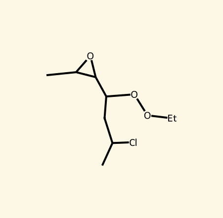 CCOOC(CC(C)Cl)C1OC1C